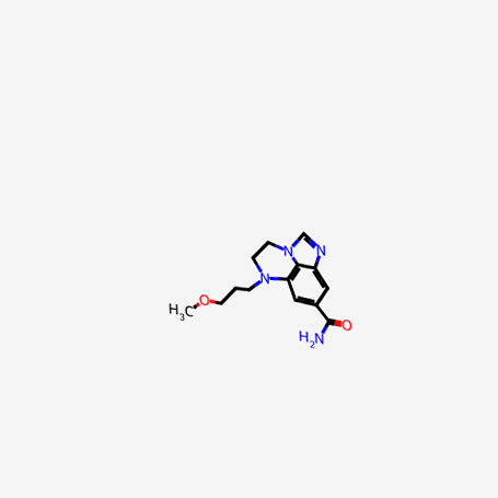 COCCCN1CCn2cnc3cc(C(N)=O)cc1c32